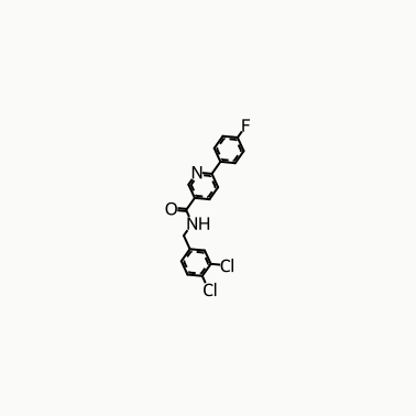 O=C(NCc1ccc(Cl)c(Cl)c1)c1ccc(-c2ccc(F)cc2)nc1